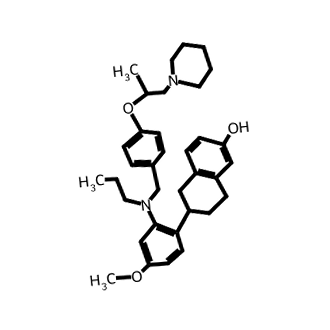 CCCN(Cc1ccc(OC(C)CN2CCCCC2)cc1)c1cc(OC)ccc1C1CCc2cc(O)ccc2C1